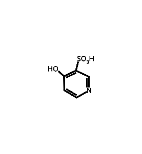 O=S(=O)(O)c1cnccc1O